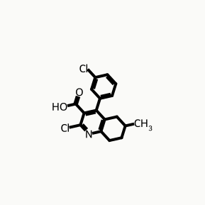 CC1CCc2nc(Cl)c(C(=O)O)c(-c3cccc(Cl)c3)c2C1